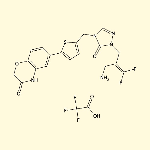 NCC(Cn1ncn(Cc2ccc(-c3ccc4c(c3)NC(=O)CO4)s2)c1=O)=C(F)F.O=C(O)C(F)(F)F